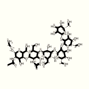 CC(=O)N[C@H]1C(O)[C@H](O[C@@H]2OC(CO)[C@@H](O[C@@H]3OC(CO)[C@@H](O)C(O[C@H]4O[C@@H](CO)[C@@H](O)C(O)C4O[C@H]4O[C@@H](CO)[C@@H](O)C(O)C4O[C@H]4O[C@@H](CO)[C@@H](O)C(O)C4O)[C@H]3O)C(O)[C@@H]2NC(C)=O)C(CO)O[C@H]1OCCN